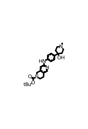 CN1CCC(O)(c2ccc(Nc3cc4c(cn3)CCN(C(=O)OC(C)(C)C)C4)cc2)CC1